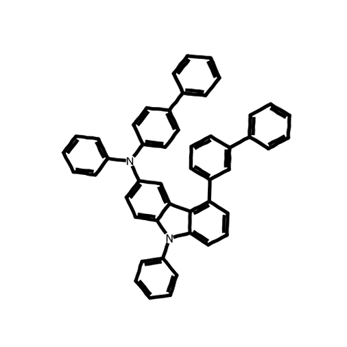 c1ccc(-c2ccc(N(c3ccccc3)c3ccc4c(c3)c3c(-c5cccc(-c6ccccc6)c5)cccc3n4-c3ccccc3)cc2)cc1